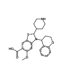 COc1cc2c(cc1C(=O)O)SC(C1CCNCC1)N2C1CCOc2ccccc21